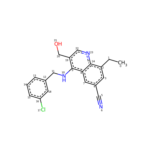 CCc1cc(C#N)cc2c(NCc3cccc(Cl)c3)c(CO)cnc12